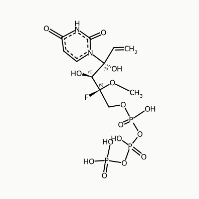 C=C[C@@](O)([C@H](O)[C@@](F)(COP(=O)(O)OP(=O)(O)OP(=O)(O)O)OC)n1ccc(=O)[nH]c1=O